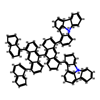 c1ccc2c(-c3cccc4c(-c5c6cccc(-c7cccc8c7c7cccc9c%10ccccc%10n8c97)c6cc6c(-c7cccc8c7c7cccc9c%10ccccc%10n8c97)cccc56)c5cccc(-c6cccc7ccccc67)c5cc34)cccc2c1